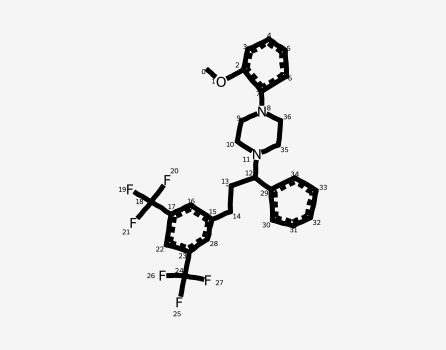 COc1ccccc1N1CCN(C([CH]Cc2cc(C(F)(F)F)cc(C(F)(F)F)c2)c2ccccc2)CC1